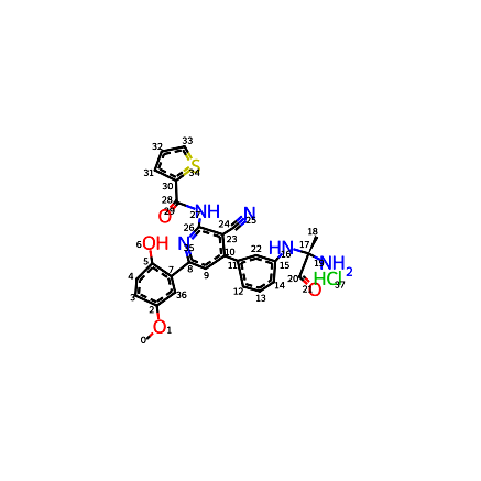 COc1ccc(O)c(-c2cc(-c3cccc(N[C@](C)(N)C=O)c3)c(C#N)c(NC(=O)c3cccs3)n2)c1.Cl